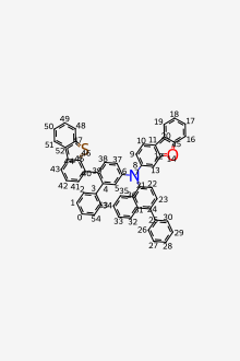 c1ccc(-c2cc(N(c3ccc4c(c3)oc3ccccc34)c3ccc(-c4ccccc4)c4ccccc34)ccc2-c2cccc3c2sc2ccccc23)cc1